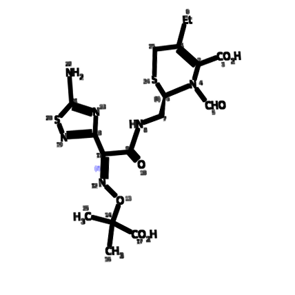 CCC1=C(C(=O)O)N(C=O)[C@@H](CNC(=O)/C(=N\OC(C)(C)C(=O)O)c2nsc(N)n2)SC1